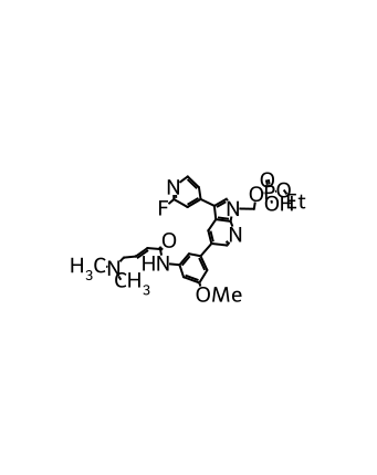 CCOP(=O)(O)OCn1cc(-c2ccnc(F)c2)c2cc(-c3cc(NC(=O)/C=C/CN(C)C)cc(OC)c3)cnc21